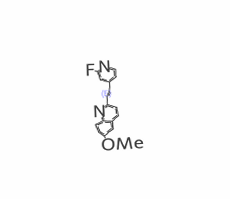 COc1ccc2nc(/C=C/c3ccnc(F)c3)ccc2c1